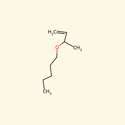 C=CC(C)OCCCCC